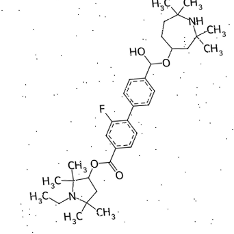 CCN1C(C)(C)CC(OC(=O)c2ccc(-c3ccc(C(O)OC4CCC(C)(C)NC(C)(C)C4)cc3)c(F)c2)C1(C)C